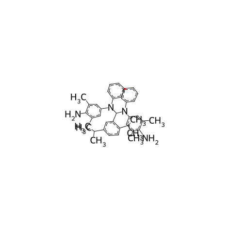 Cc1cc(N(c2ccccc2)C(c2cc(C(C)C)ccc2C(C)C)N(c2ccccc2)c2cc(C)c(N)c(C)c2)cc(C)c1N